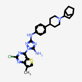 Cc1csc2c(-n3nc(Nc4ccc(C5CCN(C6CC7CCC6C7)CC5)cc4)nc3N)nc(Cl)nc12